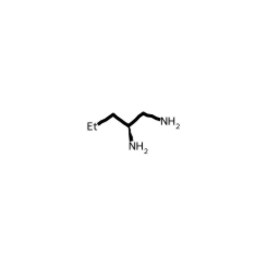 CCC[C@H](N)CN